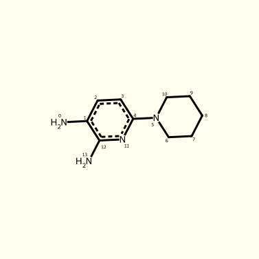 Nc1ccc(N2CCCCC2)nc1N